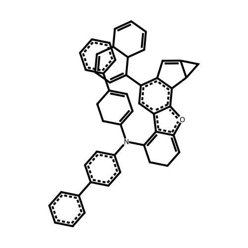 C1=CC2C=CC=C(c3cc4c5c(oc4c4c3C=C3CC34)=CCCC=5N(C3=CC=C(c4ccccc4)CC3)c3ccc(-c4ccccc4)cc3)C2C=C1